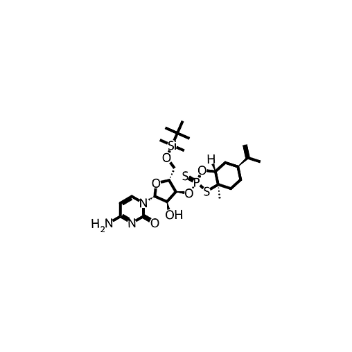 C=C(C)[C@H]1CC[C@@]2(C)S[P@](=S)(O[C@H]3[C@@H](O)[C@H](n4ccc(N)nc4=O)O[C@@H]3CO[Si](C)(C)C(C)(C)C)O[C@@H]2C1